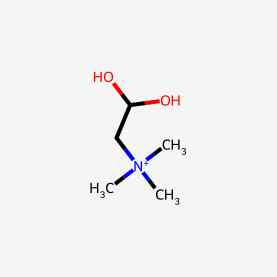 C[N+](C)(C)CC(O)O